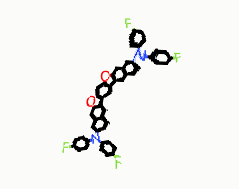 Fc1ccc(N(c2ccc(F)cc2)c2ccc3cc4c(cc3c2)oc2cc3oc5cc6cc(N(c7ccc(F)cc7)c7ccc(F)cc7)ccc6cc5c3cc24)cc1